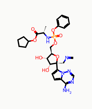 C=NC[C@@]1(c2ccc3c(N)ncnn23)O[C@H](COP(=O)(N[C@@H](C)C(=O)OC2CCCC2)Oc2ccccc2)[C@@H](O)[C@H]1O